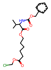 CC(C)C(NC(=O)OCc1ccccc1)C(=O)OCCCCCC(=O)OCCl